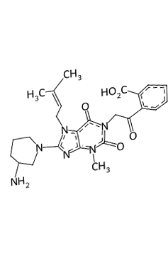 CC(C)=CCn1c(N2CCCC(N)C2)nc2c1c(=O)n(CC(=O)c1ccccc1C(=O)O)c(=O)n2C